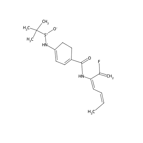 C=C(F)/C(=C\C=C/C)NC(=O)C1=CC=C(N[S+]([O-])C(C)(C)C)CC1